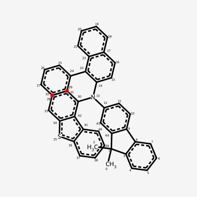 CC1(C)c2ccccc2-c2ccc(N(c3ccc4ccccc4c3-c3ccccc3)c3cccc4sc5ccccc5c34)cc21